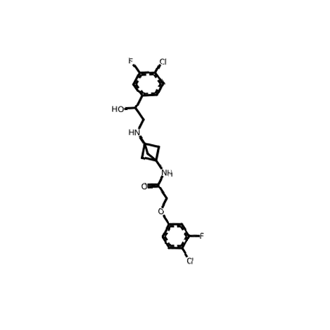 O=C(COc1ccc(Cl)c(F)c1)NC12CC(NCC(O)c3ccc(Cl)c(F)c3)(C1)C2